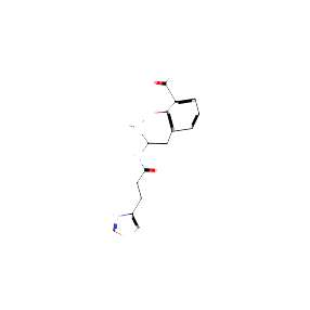 O=C(CCc1cocn1)NC1Cc2cccc(C(=O)O)c2OB1O